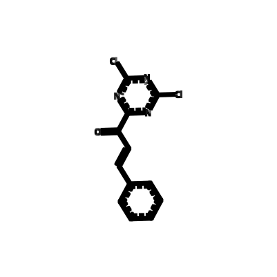 O=C(C=Cc1ccccc1)c1nc(Cl)nc(Cl)n1